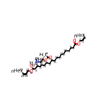 CCCCCC/C=C\COC(=O)CCCCCCCCCC(CCCCCCCC(=O)OC/C=C\CCCCCC)OC(C)OCCN(C)C